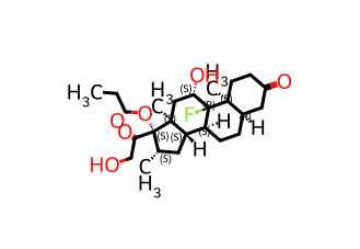 CCC(=O)O[C@@]1(C(=O)CO)[C@@H](C)C[C@H]2[C@@H]3CC[C@@H]4CC(=O)CC[C@]4(C)[C@@]3(F)[C@@H](O)C[C@@]21C